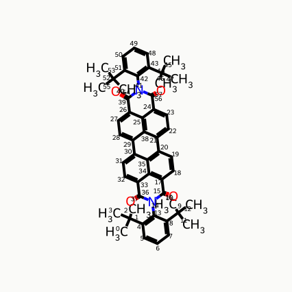 CC(C)(C)c1cccc(C(C)(C)C)c1N1C(=O)c2ccc3c4ccc5c6c(ccc(c7ccc(c2c37)C1=O)c64)C(=O)N(c1c(C(C)(C)C)cccc1C(C)(C)C)C5=O